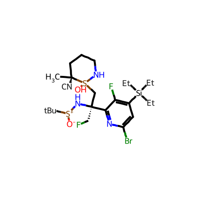 CC[Si](CC)(CC)c1cc(Br)nc([C@](CF)(CS2(O)NCCC[C@]2(C)C#N)N[S+]([O-])C(C)(C)C)c1F